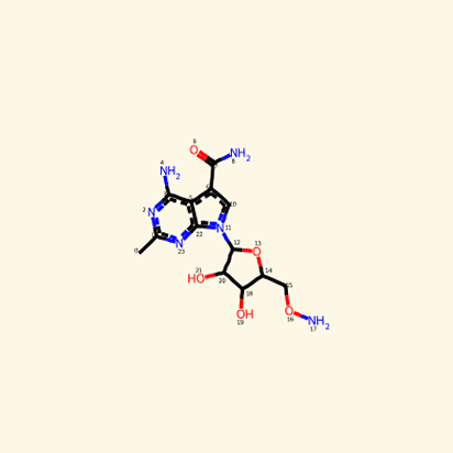 Cc1nc(N)c2c(C(N)=O)cn(C3OC(CON)C(O)C3O)c2n1